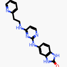 O=c1[nH]c2ccc(Nc3nccc(NCCc4ccccn4)n3)cc2[nH]1